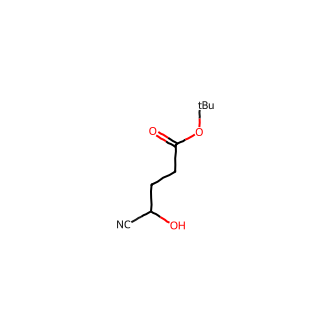 CC(C)(C)OC(=O)CCC(O)C#N